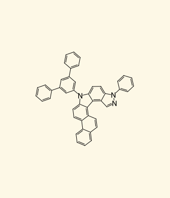 c1ccc(-c2cc(-c3ccccc3)cc(-n3c4ccc5c6ccccc6ccc5c4c4c5cnn(-c6ccccc6)c5ccc43)c2)cc1